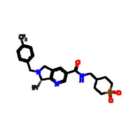 CC(C)[C@H]1c2ncc(C(=O)NCC3CCS(=O)(=O)CC3)cc2CN1Cc1ccc(C(F)(F)F)cc1